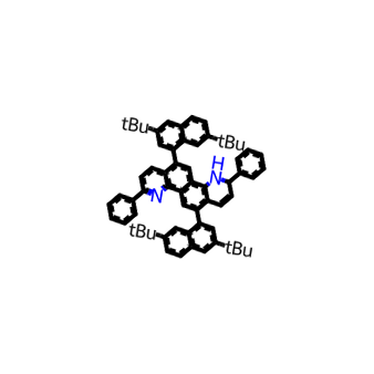 CC(C)(C)c1cc(-c2cc3c(cc(-c4cc(C(C)(C)C)cc5ccc(C(C)(C)C)cc45)c4ccc(-c5ccccc5)nc43)c3c2C=CC(c2ccccc2)N3)c2cc(C(C)(C)C)ccc2c1